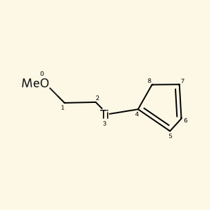 COC[CH2][Ti][C]1=CC=CC1